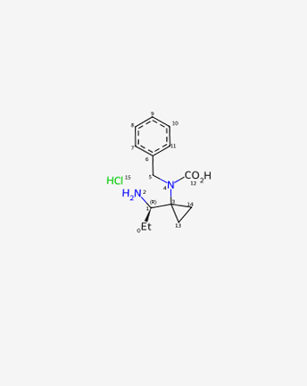 CC[C@@H](N)C1(N(Cc2ccccc2)C(=O)O)CC1.Cl